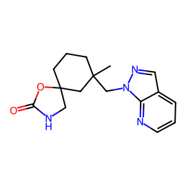 CC1(Cn2ncc3cccnc32)CCCC2(CNC(=O)O2)C1